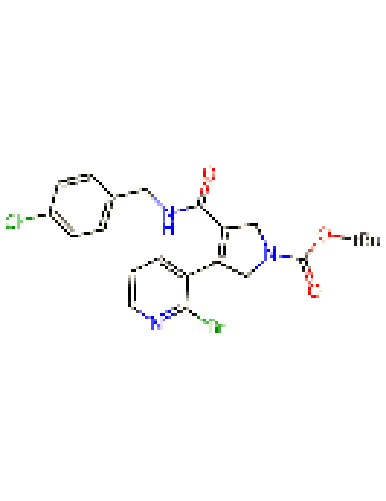 CC(C)(C)OC(=O)N1CC(C(=O)NCc2ccc(Cl)cc2)=C(c2cccnc2Br)C1